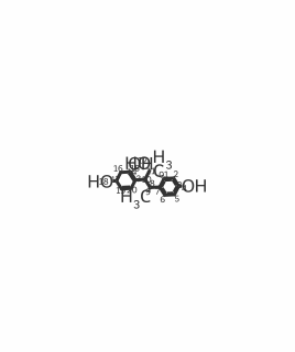 Cc1cc(O)ccc1C(C)C(CO)C1=C(O)CC(O)C=C1